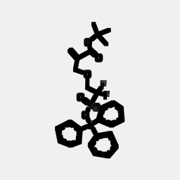 C=C(COCC(F)(F)S(=O)(=O)OS(c1ccccc1)(c1ccccc1)c1ccccc1)C(=O)OC(C)(C)C